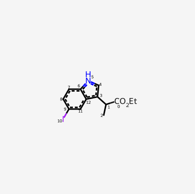 CCOC(=O)C(C)c1c[nH]c2ccc(I)cc12